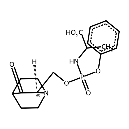 CC(NP(=O)(OC[C@@H]1C(=O)C2CCN1CC2)Oc1ccccc1)C(=O)O